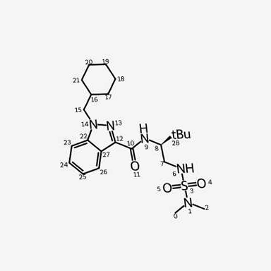 CN(C)S(=O)(=O)NC[C@@H](NC(=O)c1nn(CC2CCCCC2)c2ccccc12)C(C)(C)C